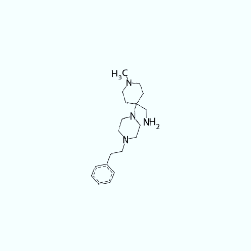 CN1CCC(CN)(N2CCN(CCc3ccccc3)CC2)CC1